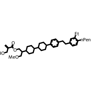 C=C(CO)C(=O)OCC(COC)C1CCC(C2CCC(c3ccc(CCc4ccc(CCCCC)c(CC)c4)cc3)CC2)CC1